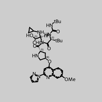 CCC[C@@](NC1CC1)([C@H](O)C=O)N(C(=O)[C@@H]1C[C@@H](Oc2cc(-n3cccn3)nc3cc(OC)ccc23)CN1)C(=O)[C@@H](NC(=O)NC(C)(C)C)C(C)(C)C